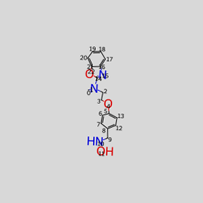 CN(CCOc1ccc(CNO)cc1)c1nc2ccccc2o1